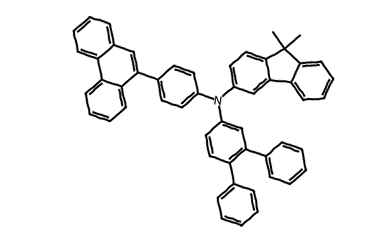 CC1(C)c2ccccc2-c2cc(N(c3ccc(-c4cc5ccccc5c5ccccc45)cc3)c3ccc(-c4ccccc4)c(-c4ccccc4)c3)ccc21